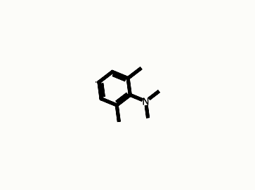 Cc1c[c]cc(C)c1N(C)C